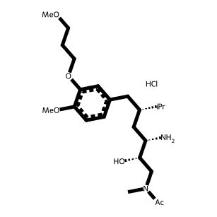 COCCCOc1cc(C[C@@H](C[C@H](N)[C@@H](O)CN(C)C(C)=O)C(C)C)ccc1OC.Cl